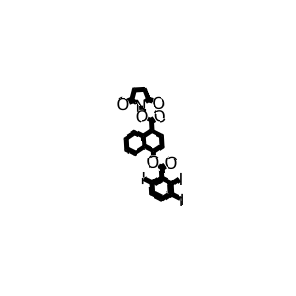 O=C(OC1CCC(C(=O)ON2C(=O)CCC2=O)C2CCCCC12)c1c(I)ccc(I)c1I